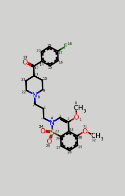 COC1=CN(CCCN2CCC(C(=O)c3ccc(F)cc3)CC2)S(=O)(=O)c2cccc(OC)c21